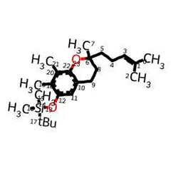 CC(C)=CCCC1(C)CCc2cc(O[Si](C)(C)C(C)(C)C)c(C)c(C)c2O1